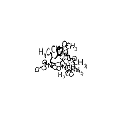 COCCCOc1cc(C[C@@H](C[C@H]2[C@H](C[C@H](C(=O)NCC(C)(C)C(N)=O)C(C)C)OCN2C(=O)OCCl)C(C)C)ccc1OC